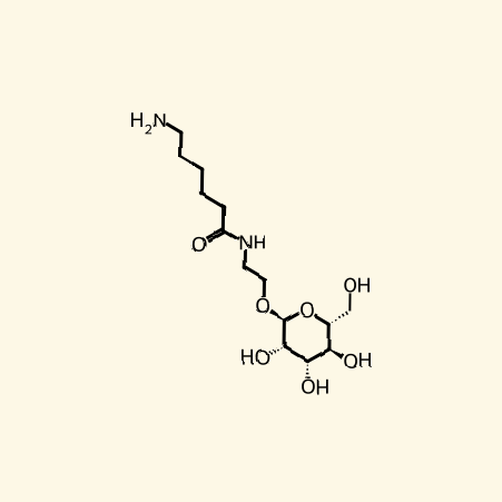 NCCCCCC(=O)NCCO[C@H]1O[C@H](CO)[C@@H](O)[C@H](O)[C@@H]1O